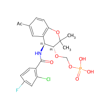 CC(=O)c1ccc2c(c1)[C@H](NC(=O)c1ccc(F)cc1Cl)[C@@H](OCOP(=O)(O)O)C(C)(C)O2